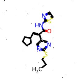 CCCSc1ncc(/C(=C\C2CCCC2)C(=O)Nc2nccs2)cn1